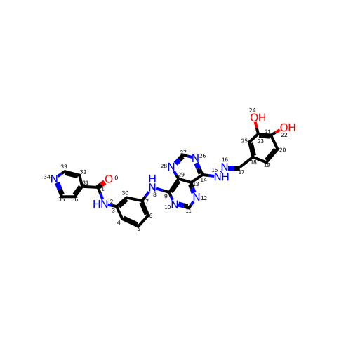 O=C(Nc1cccc(Nc2ncnc3c(NN=Cc4ccc(O)c(O)c4)ncnc23)c1)c1ccncc1